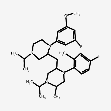 COc1cc(F)cc(N2CCN(C(C)C)CC2CC2CN(C(C)C)C(C)CN2c2ccc(F)cc2C)c1